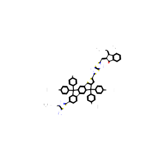 C=Nc1sc(-c2ccc3c(c2)C(c2ccc(C)cc2)(c2ccc(C)cc2)c2cc4c(cc2-3)C(c2ccc(C)cc2)(c2ccc(C)cc2)c2cc(-c3nc5sc(/C=C6\C(=O)c7ccccc7C6=C(C#N)C#N)nc5s3)sc2-4)nc1SC